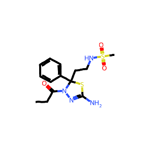 CCC(=O)N1N=C(N)SC1(CCNS(C)(=O)=O)c1ccccc1